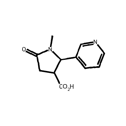 CN1C(=O)CC(C(=O)O)C1c1cccnc1